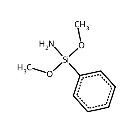 CO[Si](N)(OC)c1ccccc1